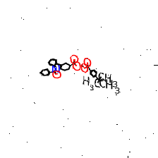 CC(C)(C)c1ccc(C(=O)OCOC(=O)C2CCc3c(c4ccccc4n3C(=O)c3ccccc3)C2)cc1